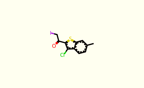 Cc1ccc2c(Cl)c(C(=O)CI)sc2c1